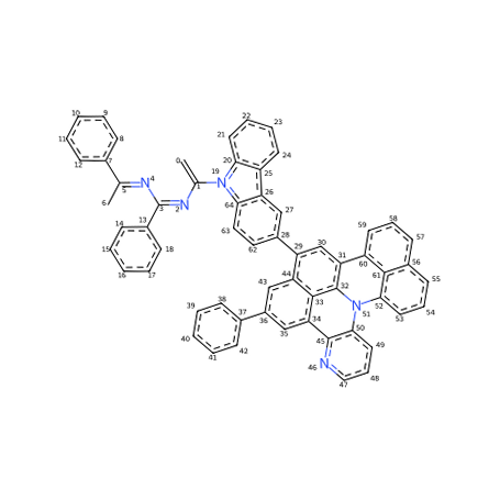 C=C(/N=C(\N=C(/C)c1ccccc1)c1ccccc1)n1c2ccccc2c2cc(-c3cc4c5c6c(cc(-c7ccccc7)cc36)-c3ncccc3N5c3cccc5cccc-4c35)ccc21